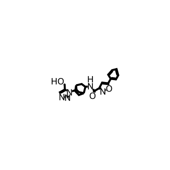 O=C(NC1CC2CCC1CC2n1nncc1CO)c1cc(-c2ccccc2)on1